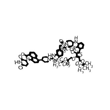 CC(C)(C)OC(=O)COc1c(C(=O)OC(C)(C)C)sc(-c2cccc(N[C@H]3CCN(S(=O)(=O)Cc4ccc(F)c(NC(=O)N5CCC(c6ccc7c8c(cccc68)C(=O)N7C6CCC(=O)NC6=O)CC5)c4)C(C)(C)C3)c2F)c1Cl